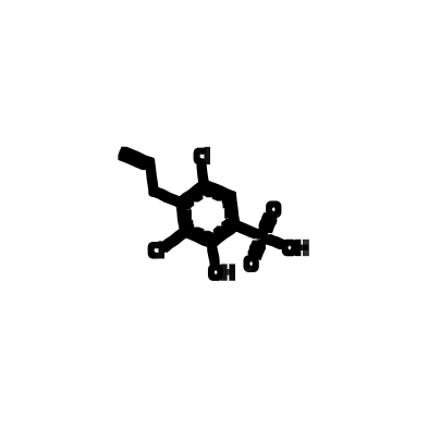 C=CCc1c(Cl)cc(S(=O)(=O)O)c(O)c1Cl